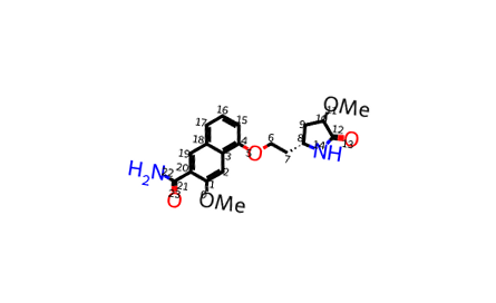 COc1cc2c(OCC[C@@H]3C[C@@H](OC)C(=O)N3)cccc2cc1C(N)=O